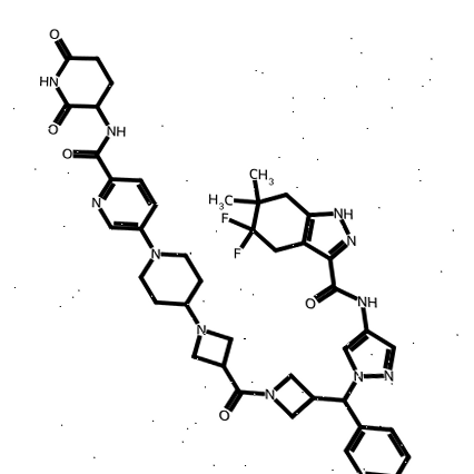 CC1(C)Cc2[nH]nc(C(=O)Nc3cnn(C(c4ccccc4)C4CN(C(=O)C5CN(C6CCN(c7ccc(C(=O)NC8CCC(=O)NC8=O)nc7)CC6)C5)C4)c3)c2CC1(F)F